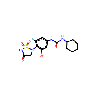 O=C1CN(c2c(O)cc(NC(=O)NC3CCCCC3)cc2F)S(=O)(=O)N1